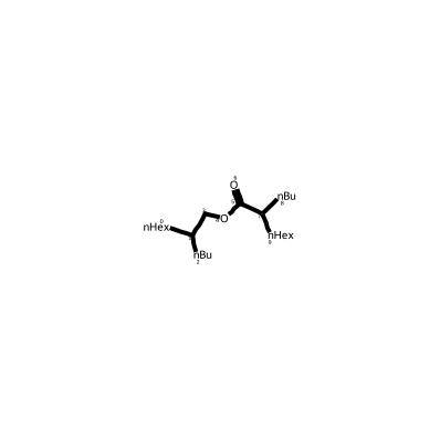 CCCCCCC(CCCC)COC(=O)C(CCCC)CCCCCC